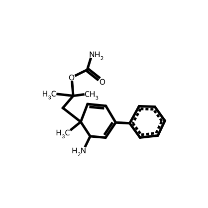 CC(C)(CC1(C)C=CC(c2ccccc2)=CC1N)OC(N)=O